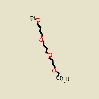 CCOCCCCOCCCCOCCCCOCC(=O)O